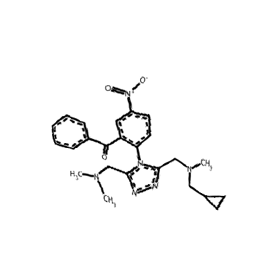 CN(C)Cc1nnc(CN(C)CC2CC2)n1-c1ccc([N+](=O)[O-])cc1C(=O)c1ccccc1